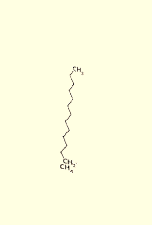 C.[CH2]CCCCCCCCCCCC